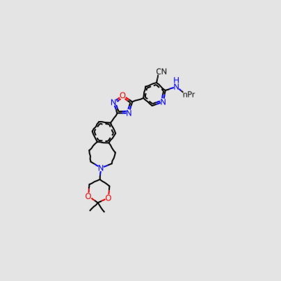 CCCNc1ncc(-c2nc(-c3ccc4c(c3)CCN(C3COC(C)(C)OC3)CC4)no2)cc1C#N